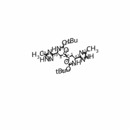 Cc1nc([C@H](CSSC[C@H](NC(=O)OC(C)(C)C)c2n[nH]c(C)n2)NC(=O)OC(C)(C)C)n[nH]1